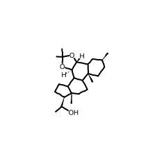 CC(O)[C@H]1CCC2C3C(CC[C@@]21C)[C@@]1(C)CC[C@H](C)CC1[C@H]1OC(C)(C)O[C@H]31